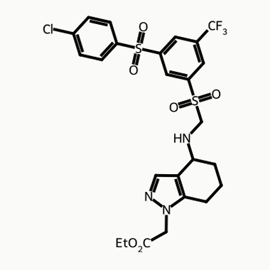 CCOC(=O)Cn1ncc2c1CCCC2NCS(=O)(=O)c1cc(C(F)(F)F)cc(S(=O)(=O)c2ccc(Cl)cc2)c1